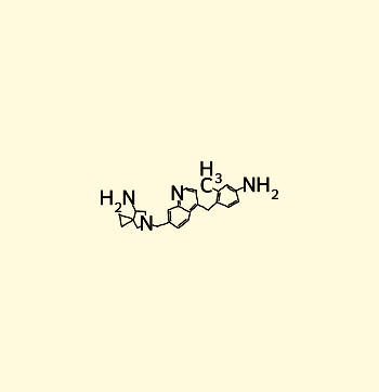 Cc1cc(N)ccc1Cc1ccnc2cc(CN3CC(N)C4(CC4)C3)ccc12